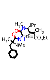 CCOC(=O)/C(C)=C/[C@H](C(C)C)N(C)C(=O)[C@@H](NC(=O)C(C)(Cc1ccccc1)NC)C(C)(C)C